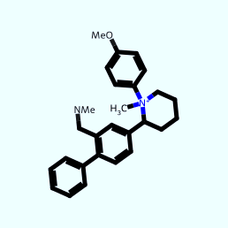 CNCc1cc(C2CCCC[N+]2(C)c2ccc(OC)cc2)ccc1-c1ccccc1